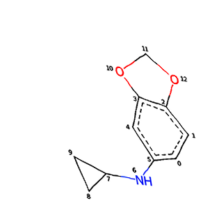 c1cc2c(cc1NC1CC1)OCO2